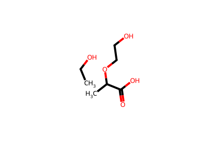 CC(OCCO)C(=O)O.CCO